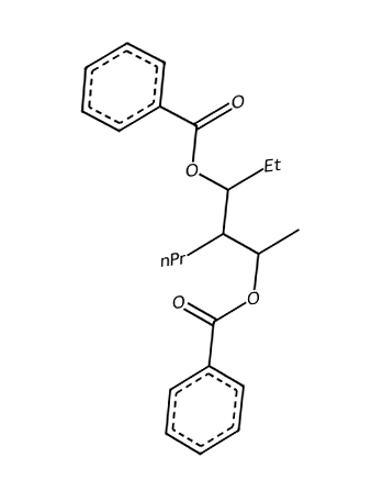 CCCC(C(C)OC(=O)c1ccccc1)C(CC)OC(=O)c1ccccc1